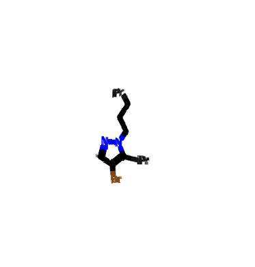 CC(C)CCCn1n[c]c(Br)c1C(C)C